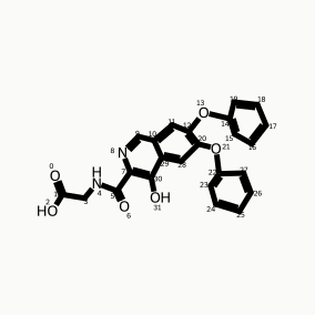 O=C(O)CNC(=O)c1ncc2cc(Oc3ccccc3)c(Oc3ccccc3)cc2c1O